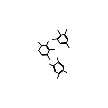 CC1=CCC(C)C(C)=C1C.Cc1cc(C)c(C)c(C)c1.Cc1cc(C)c(C)cc1C